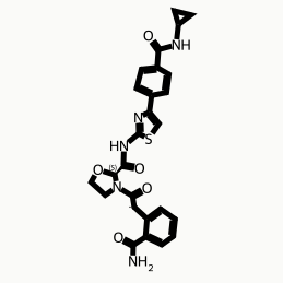 NC(=O)c1ccccc1[CH]C(=O)N1CCO[C@H]1C(=O)Nc1nc(-c2ccc(C(=O)NC3CC3)cc2)cs1